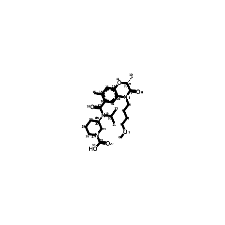 COCCCCN1C(=O)[C@@H](C)Oc2cc(C)c(C(=O)N(C(C)C)[C@@H]3CCCN(C(=O)O)C3)cc21